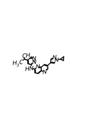 CC(C)c1cnnc(Nc2ccc3ncc(-c4cnn(C5CC5)c4)cc3n2)c1